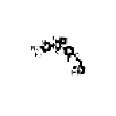 CN1NCC=C1CCOc1ccc(N2C(=S)N(c3cnc(C#N)c(C(F)(F)F)c3)C(=O)C23CCC3)cc1F